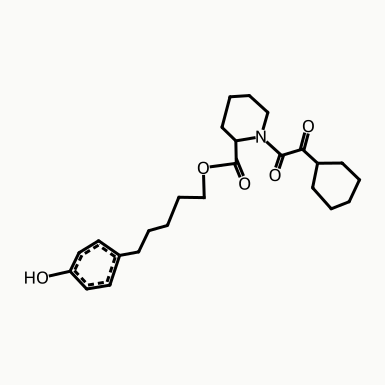 O=C(C(=O)N1CCCCC1C(=O)OCCCCCc1ccc(O)cc1)C1CCCCC1